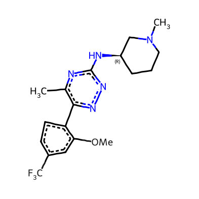 COc1cc(C(F)(F)F)ccc1-c1nnc(N[C@@H]2CCCN(C)C2)nc1C